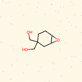 OCC1(CO)CCC2OC2C1